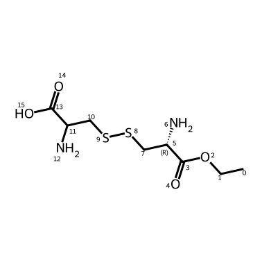 CCOC(=O)[C@@H](N)CSSCC(N)C(=O)O